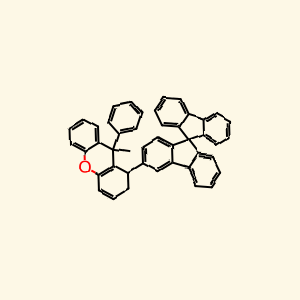 CC1(c2ccccc2)C2=C(C=CCC2c2ccc3c(c2)-c2ccccc2C32c3ccccc3-c3ccccc32)Oc2ccccc21